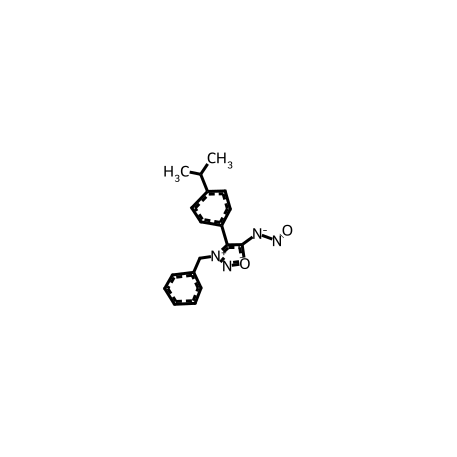 CC(C)c1ccc(-c2c([N-]N=O)on[n+]2Cc2ccccc2)cc1